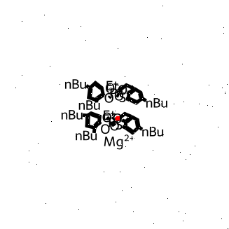 CCCCc1ccc(OP(=O)([O-])Oc2c3cc(CCCC)cc2SC(CC)C3)c(CCCC)c1.CCCCc1ccc(OP(=O)([O-])Oc2c3cc(CCCC)cc2SC(CC)C3)c(CCCC)c1.[Mg+2]